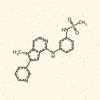 Cn1c(-c2cccnc2)cc2c(Nc3cccc(NS(C)(=O)=O)c3)nccc21